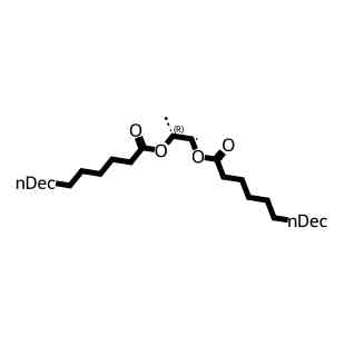 CCCCCCCCCCCCCCCC(=O)O[CH][C@@H](C)OC(=O)CCCCCCCCCCCCCCC